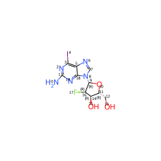 Nc1nc(I)c2ncn([C@@H]3O[C@H](CO)[C@@H](O)[C@H]3F)c2n1